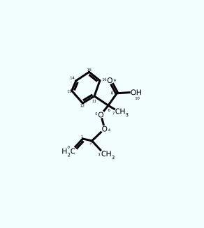 C=CC(C)OOC(C)(C(=O)O)c1ccccc1